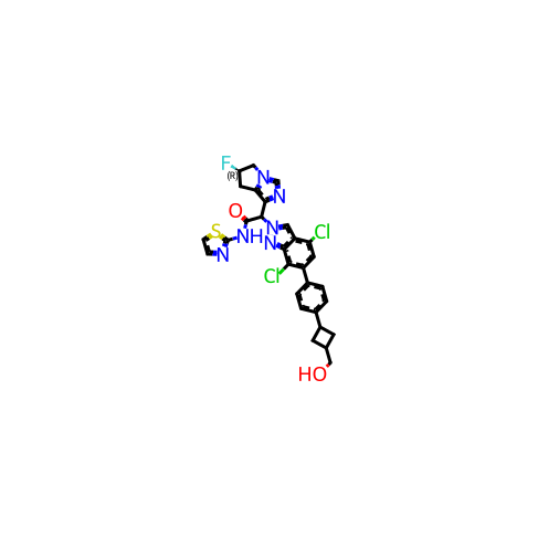 O=C(Nc1nccs1)C(c1ncn2c1C[C@@H](F)C2)n1cc2c(Cl)cc(-c3ccc(C4CC(CO)C4)cc3)c(Cl)c2n1